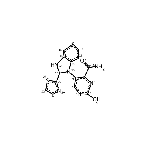 NC(=O)c1nc(O)ncc1N1c2ccccc2NC1c1nccs1